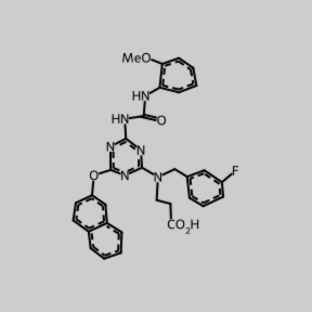 COc1ccccc1NC(=O)Nc1nc(Oc2ccc3ccccc3c2)nc(N(CCC(=O)O)Cc2cccc(F)c2)n1